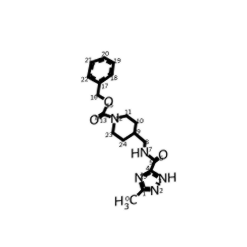 Cc1n[nH]c(C(=O)NCC2CCN(C(=O)OCc3ccccc3)CC2)n1